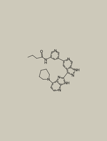 CCCC(=O)Nc1cncc(-c2cc3c(-c4nc5c(N6CCCCC6)ccnc5[nH]4)n[nH]c3cn2)c1